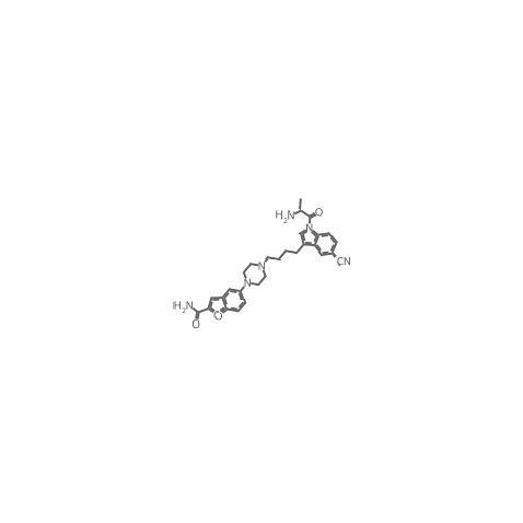 CC(N)C(=O)n1cc(CCCCN2CCN(c3ccc4oc(C(N)=O)cc4c3)CC2)c2cc(C#N)ccc21